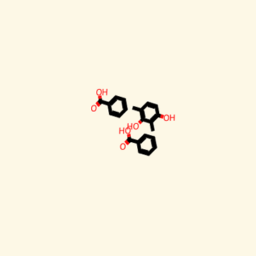 Cc1ccc(O)c(C)c1O.O=C(O)c1ccccc1.O=C(O)c1ccccc1